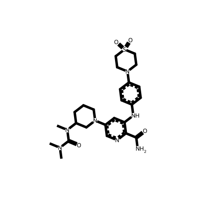 CN(C)C(=O)N(C)C1CCCN(c2cnc(C(N)=O)c(Nc3ccc(N4CCS(=O)(=O)CC4)cc3)c2)C1